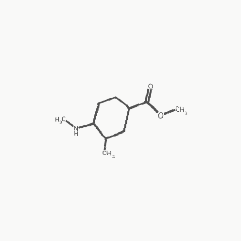 CNC1CCC(C(=O)OC)CC1C